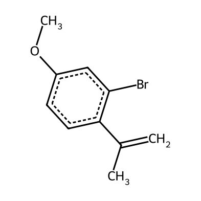 C=C(C)c1ccc(OC)cc1Br